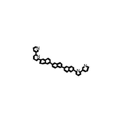 c1cncc(-c2cccc(-c3ccc4cc(-c5ccc6cc(-c7ccc8cc(-c9cccc(-c%10cccnc%10)n9)ccc8c7)ccc6c5)ccc4c3)n2)c1